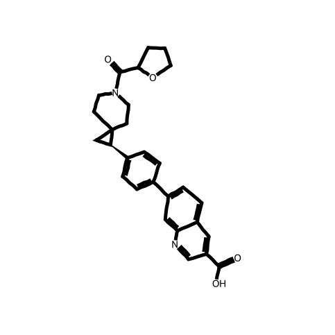 O=C(O)c1cnc2cc(-c3ccc([C@H]4CC45CCN(C(=O)C4CCCO4)CC5)cc3)ccc2c1